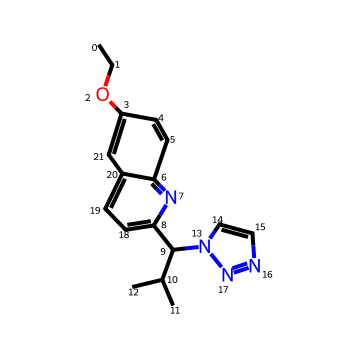 CCOc1ccc2nc(C(C(C)C)n3ccnn3)ccc2c1